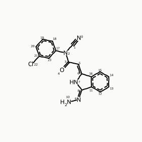 N#CN(C(=O)C=C1NC(=NN)c2ccccc21)c1cccc(Cl)c1